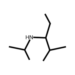 CCC(NC(C)C)C(C)C